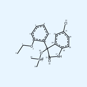 CCOc1ccccc1C1(O[Si](C)(C)C)C(=O)Nc2ccc(Cl)cc21